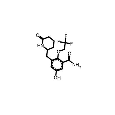 NC(=O)c1cc(O)cc(CC2CCCC(=O)N2)c1OCC(F)(F)F